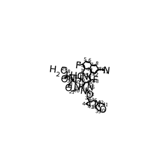 C#Cc1c(F)ccc2cc(C#N)cc(-c3ncc4c(N5CCOCC(NC(=O)C=C)C5)nc(OCC5(CN6CCOCC6)CC5)nc4c3F)c12